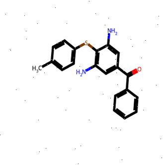 Cc1ccc(Sc2c(N)cc(C(=O)c3ccccc3)cc2N)cc1